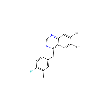 CCc1cc2ncnc(Cc3ccc(F)c(C)c3)c2cc1CC